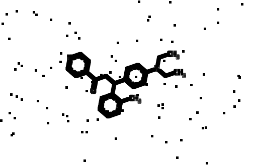 CCN(CC)c1ccc(C(CC(=O)c2ccncc2)c2ccccc2C)cc1